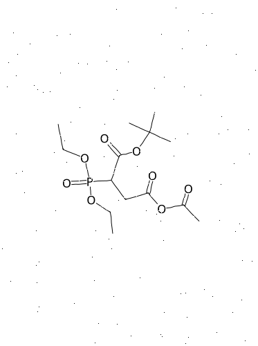 CCOP(=O)(OCC)C(CC(=O)OC(C)=O)C(=O)OC(C)(C)C